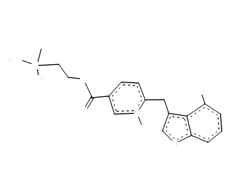 C[n+]1cc(C(=O)OCC[Si](C)(C)C)ccc1Cc1c[nH]c2cccc(Br)c12.[I-]